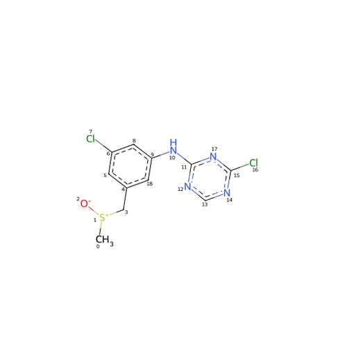 C[S+]([O-])Cc1cc(Cl)cc(Nc2ncnc(Cl)n2)c1